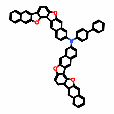 c1ccc(-c2ccc(N(c3ccc4cc5c(cc4c3)oc3ccc4c6cc7ccccc7cc6oc4c35)c3ccc4cc5c(cc4c3)oc3ccc4c6cc7ccccc7cc6oc4c35)cc2)cc1